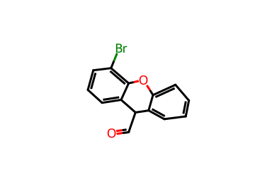 O=CC1c2ccccc2Oc2c(Br)cccc21